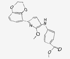 COC(=O)c1ccc(Nc2ccc(-c3cccc4c3OCCO4)nc2OC)cc1